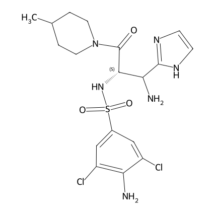 CC1CCN(C(=O)[C@@H](NS(=O)(=O)c2cc(Cl)c(N)c(Cl)c2)C(N)c2ncc[nH]2)CC1